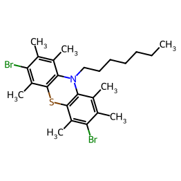 CCCCCCCN1c2c(C)c(C)c(Br)c(C)c2Sc2c(C)c(Br)c(C)c(C)c21